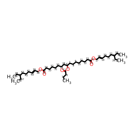 CCCC(=O)OC(CCCCCCCC(=O)OC/C=C/CCCC(CC)CC)CCCCCCCC(=O)OC/C=C/CCCC(CC)CC